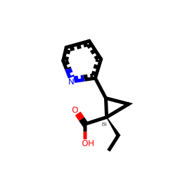 CC[C@]1(C(=O)O)CC1c1ccccn1